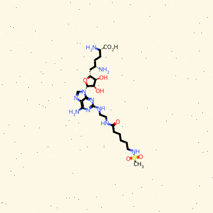 CS(=O)(=O)NCCCCCC(=O)NCCNc1nc(N)c2ncn([C@@H]3O[C@H](C[C@@H](N)CC[C@H](N)C(=O)O)[C@@H](O)[C@H]3O)c2n1